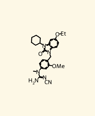 CCOc1ccc2c(c1)n(C1CCCCC1)c(=O)n2Cc1ccc(N(C)C(N)=NC#N)cc1OC